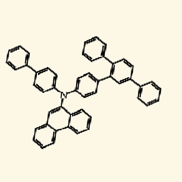 c1ccc(-c2ccc(N(c3ccc(-c4cc(-c5ccccc5)ccc4-c4ccccc4)cc3)c3cc4ccccc4c4ccccc34)cc2)cc1